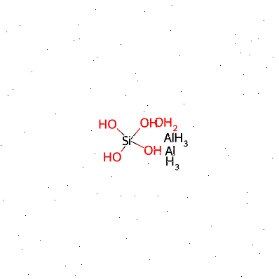 O.O[Si](O)(O)O.[AlH3].[AlH3]